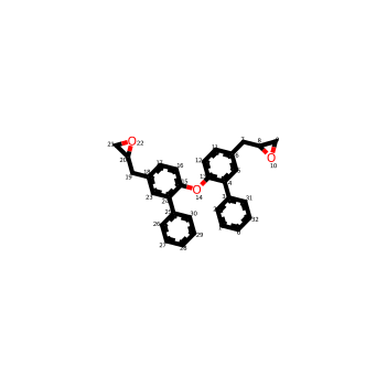 c1ccc(-c2cc(CC3CO3)ccc2Oc2ccc(CC3CO3)cc2-c2ccccc2)cc1